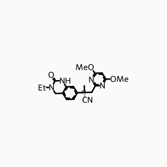 CCN1Cc2ccc([C@](C)(C#N)Cc3nc(OC)cc(OC)n3)cc2NC1=O